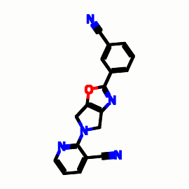 N#Cc1cccc(-c2nc3c(o2)CN(c2ncccc2C#N)C3)c1